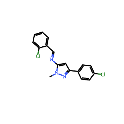 Cn1nc(-c2ccc(Cl)cc2)cc1/N=C/c1ccccc1Cl